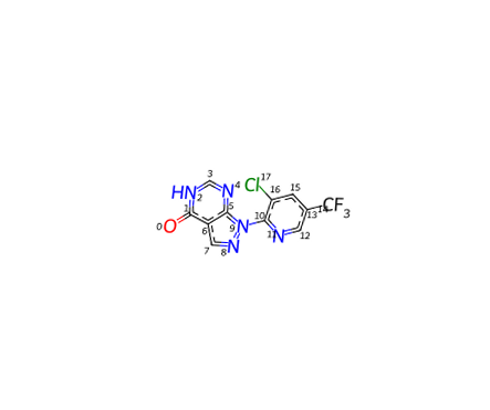 O=c1[nH]cnc2c1cnn2-c1ncc(C(F)(F)F)cc1Cl